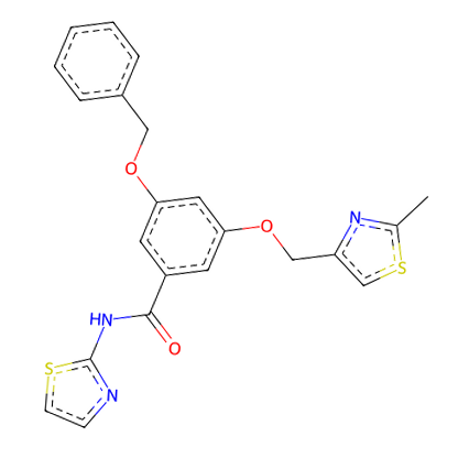 Cc1nc(COc2cc(OCc3ccccc3)cc(C(=O)Nc3nccs3)c2)cs1